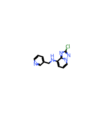 Clc1nc2c(NCc3cccnc3)cccn2n1